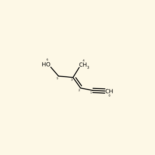 C#C/C=C(\C)CO